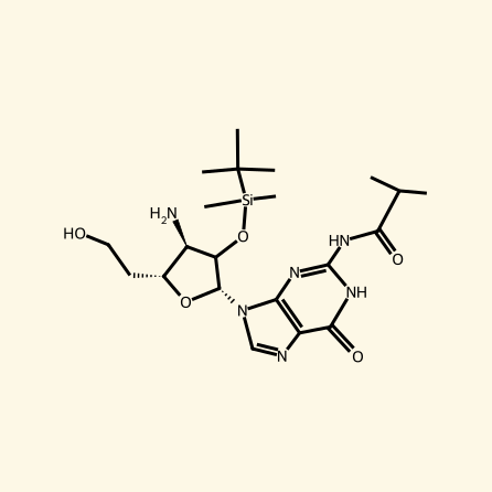 CC(C)C(=O)Nc1nc2c(ncn2[C@@H]2O[C@H](CCO)[C@@H](N)C2O[Si](C)(C)C(C)(C)C)c(=O)[nH]1